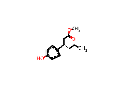 CCC[C@@H](CC(=O)OC)c1ccc(O)cc1